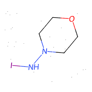 INN1CCOCC1